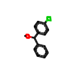 [O]C(c1ccccc1)c1ccc(Cl)cc1